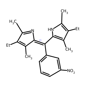 CCC1=C(C)/C(=C(\c2cccc([N+](=O)[O-])c2)c2[nH]c(C)c(CC)c2C)N=C1C